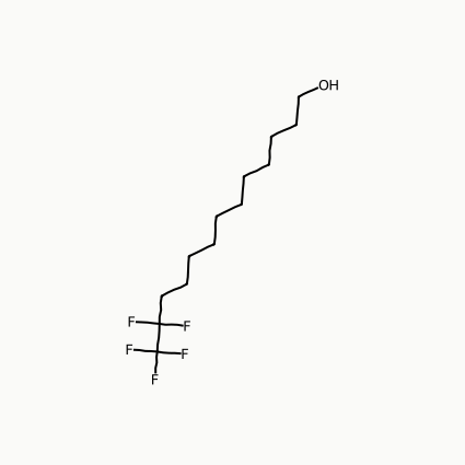 OCCCCCCCCCCCC(F)(F)C(F)(F)F